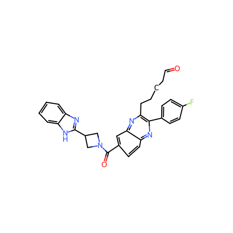 O=CCCCCc1nc2cc(C(=O)N3CC(c4nc5ccccc5[nH]4)C3)ccc2nc1-c1ccc(F)cc1